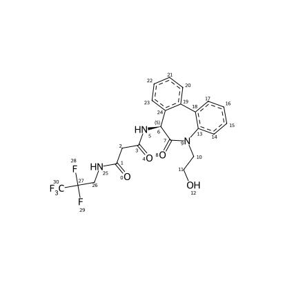 O=C(CC(=O)N[C@@H]1C(=O)N(CCO)c2ccccc2-c2ccccc21)NCC(F)(F)C(F)(F)F